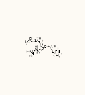 CCN1CC(NC(=O)c2ccc(OCC=C(C)CCC=C(C)C)c(OCC=C(C)CCC=C(C)C)c2)CN1CC